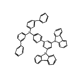 c1ccc(-c2cccc(N(c3ccc(-c4cc(-n5c6ccccc6c6ccccc65)cc(-n5c6ccccc6c6ccccc65)c4)cc3)c3cccc(-c4ccccc4)c3)c2)cc1